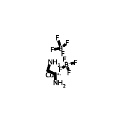 F[B-](F)(F)F.F[B-](F)(F)F.NCCN.[Cu+2]